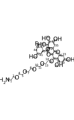 NCCOCCOCCOCCOCCOC1c2c(O)cc(O)cc2OC(c2cc(O)c(O)c(O)c2)C1OC(=O)C1=CC(O)CC(F)C1